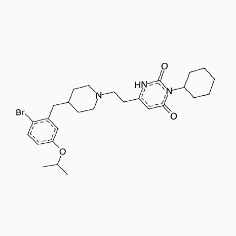 CC(C)Oc1ccc(Br)c(CC2CCN(CCc3cc(=O)n(C4CCCCC4)c(=O)[nH]3)CC2)c1